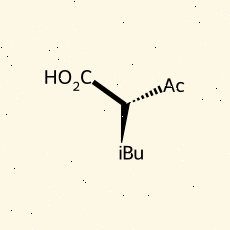 CC[C@H](C)[C@@H](C(C)=O)C(=O)O